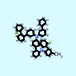 Cc1ccc2c(c1)c1c(F)cccc1n2-c1ccccc1-c1ccc(N(c2cccc(-c3ccccc3)c2)c2cccc(-c3cccc4sc5ccccc5c34)c2)cc1